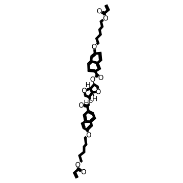 C=CC(=O)OCCCCCCOc1ccc2cc(C(=O)O[C@@H]3CO[C@@H]4C(PC(=O)c5ccc6cc(OCCCCCCOC(=O)C=C)ccc6c5)CO[C@@H]43)ccc2c1